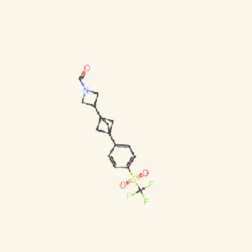 O=CN1CC(C23CC(c4ccc(S(=O)(=O)C(F)(F)F)cc4)(C2)C3)C1